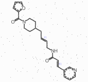 O=C(/C=C/c1cccnc1)NC/C=C/CC1CCN(C(=O)c2ccco2)CC1